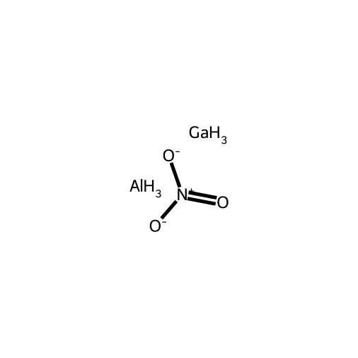 O=[N+]([O-])[O-].[AlH3].[GaH3]